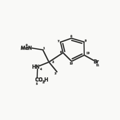 CNCC(C)(NC(=O)O)c1cccc(Br)c1